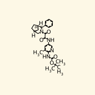 Cc1cc(NC(=O)C(=O)N2C[C@H]3CC[C@H](C3)[C@H]2c2ccccc2)cnc1NC(=O)OC(C)(C)C